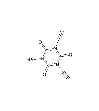 C#Cn1c(=O)n(C#C)c(=O)n(CCC)c1=O